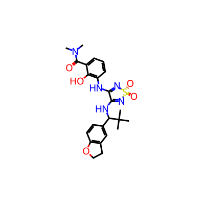 CN(C)C(=O)c1cccc(NC2=NS(=O)(=O)N=C2NC(c2ccc3c(c2)CCO3)C(C)(C)C)c1O